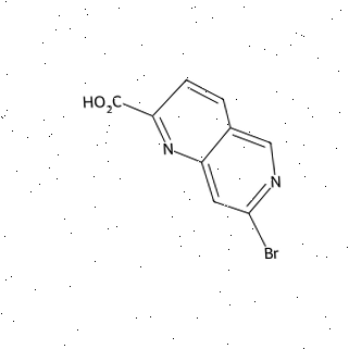 O=C(O)c1ccc2cnc(Br)cc2n1